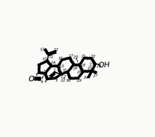 C=C[C@@]12CC[C@@]3(C=O)CC[C@@H](C(=C)C)C3C1CCC1[C@@]3(C)CC[C@H](O)C(C)(C)C3CC[C@]12C